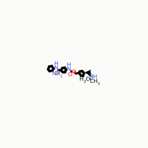 CC(C)N[C@H]1C[C@@H]1c1ccc(COC(=O)Nc2ccc(C(=O)Nc3ccccc3N)cc2)cc1